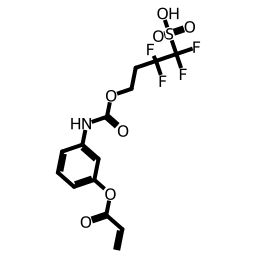 C=CC(=O)Oc1cccc(NC(=O)OCCC(F)(F)C(F)(F)S(=O)(=O)O)c1